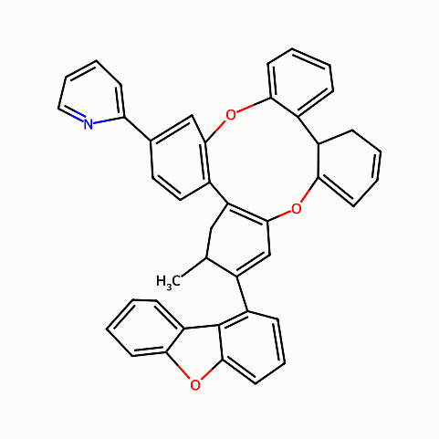 CC1CC2=C(C=C1c1cccc3oc4ccccc4c13)OC1=CC=CCC1c1ccccc1Oc1cc(-c3ccccn3)ccc12